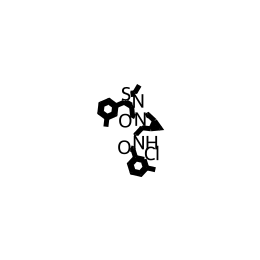 Cc1cccc(-c2sc(C)nc2C(=O)N2CC3CC3C2CNC(=O)c2cccc(C)c2Cl)c1